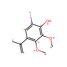 C=C(C)c1cc(I)c(O)c(OC)c1OC